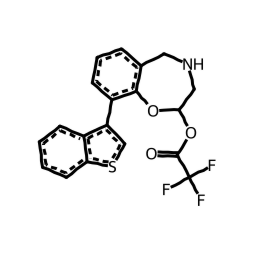 O=C(OC1CNCc2cccc(-c3csc4ccccc34)c2O1)C(F)(F)F